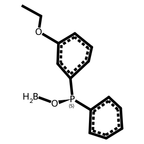 BO[P@](c1ccccc1)c1cccc(OCC)c1